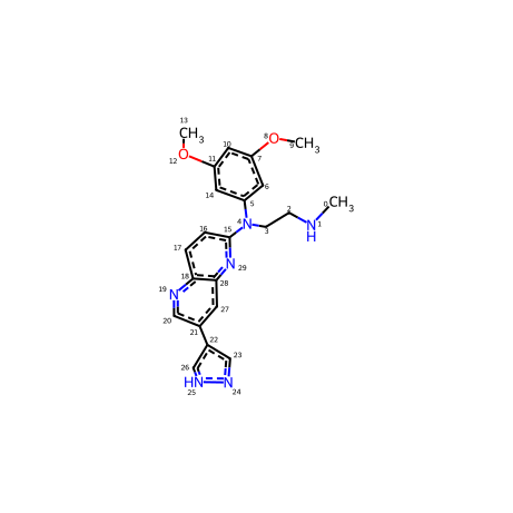 CNCCN(c1cc(OC)cc(OC)c1)c1ccc2ncc(-c3cn[nH]c3)cc2n1